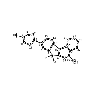 CC1(C)c2cc(-c3ccc(I)cc3)ccc2-c2c1cc(Br)c1ccccc21